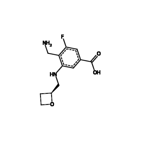 NCc1c(F)cc(C(=O)O)cc1NC[C@@H]1CCO1